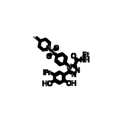 [CH2]C1CCN(S(=O)(=O)c2ccc(-n3c(C(=O)NCC)nnc3-c3cc(C(C)C)c(O)cc3O)cc2)CC1